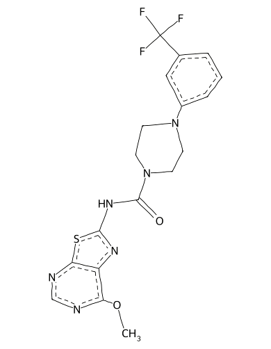 COc1ncnc2sc(NC(=O)N3CCN(c4cccc(C(F)(F)F)c4)CC3)nc12